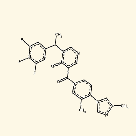 Cc1cn(-c2ccc(C(=O)c3cncn(C(C)c4cc(F)c(F)c(F)c4)c3=O)cc2C)cn1